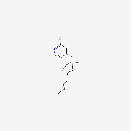 CCCCCCC(C)(CC)Cc1ccnc(Cl)c1